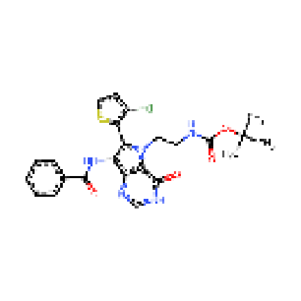 CC(C)(C)OC(=O)NCCn1c(-c2sccc2Cl)c(NC(=O)c2ccccc2)c2nc[nH]c(=O)c21